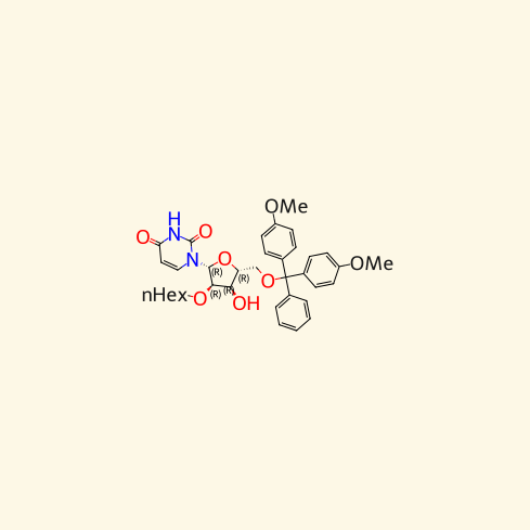 CCCCCCO[C@@H]1[C@H](O)[C@@H](COC(c2ccccc2)(c2ccc(OC)cc2)c2ccc(OC)cc2)O[C@H]1n1ccc(=O)[nH]c1=O